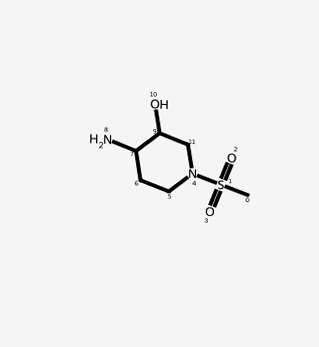 CS(=O)(=O)N1CCC(N)C(O)C1